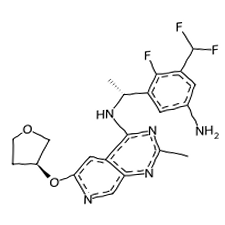 Cc1nc(N[C@H](C)c2cc(N)cc(C(F)F)c2F)c2cc(O[C@H]3CCOC3)ncc2n1